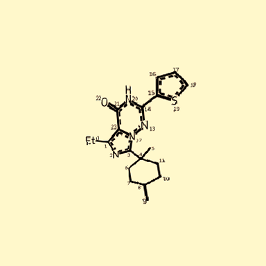 CCc1nc(C2(C)CCC(C)CC2)n2nc(-c3cccs3)[nH]c(=O)c12